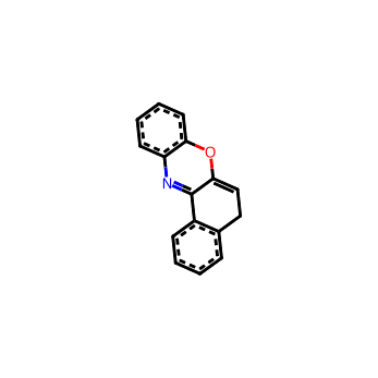 C1=C2Oc3ccccc3N=C2c2ccccc2C1